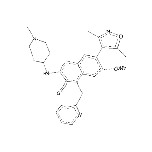 COc1cc2c(cc1-c1c(C)noc1C)cc(NC1CCN(C)CC1)c(=O)n2Cc1ccccn1